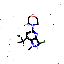 C[C@@H]1COCCN1c1cc(C(C)(C)C#N)c2c(n1)c(Br)nn2C